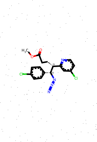 COC(=O)CC[C@H](c1cc(Cl)ccn1)[C@H](N=[N+]=[N-])c1ccc(Cl)cc1